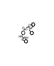 C[C@@H](COC(=O)N1CCC(Nc2nc3ccccc3[nH]2)CC1)N(Cc1ccccc1)Cc1ccccc1